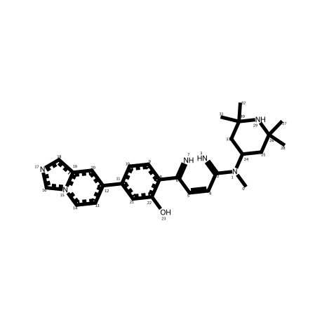 CN(C(=N)/C=C\C(=N)c1ccc(-c2ccn3cncc3c2)cc1O)C1CC(C)(C)NC(C)(C)C1